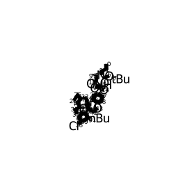 C=CCN(C(=O)OC(C)(C)C)[C@H](C)C(=O)NS(=O)(=O)c1ccc2c(c1)N(C[C@@H]1CC[C@H]1[C@@H](O)C=C)C[C@H](c1ccc(Cl)cc1CCCC)CO2